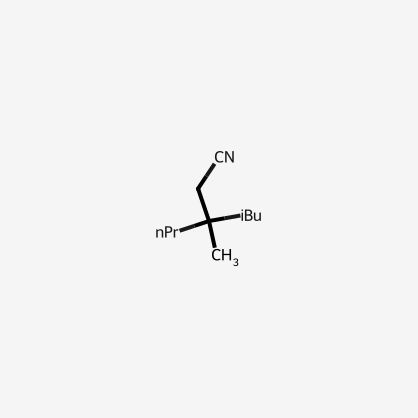 CCCC(C)(CC#N)C(C)CC